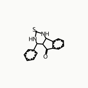 O=C1c2ccccc2C2NC(=S)NC(c3ccccc3)C12